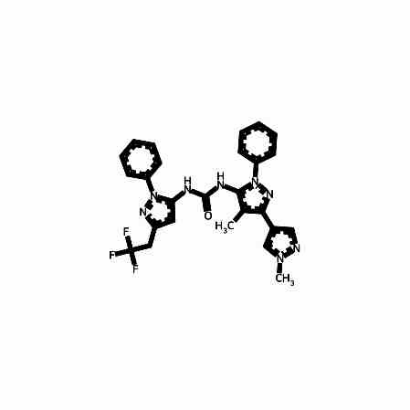 Cc1c(-c2cnn(C)c2)nn(-c2ccccc2)c1NC(=O)Nc1cc(CC(F)(F)F)nn1-c1ccccc1